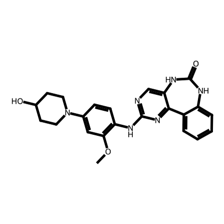 COc1cc(N2CCC(O)CC2)ccc1Nc1ncc2c(n1)-c1ccccc1NC(=O)N2